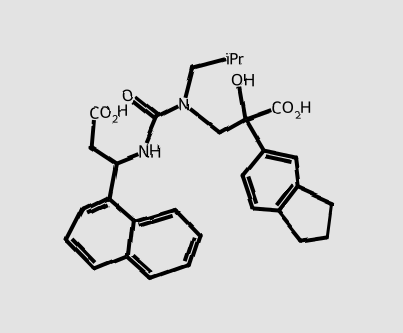 CC(C)CN(CC(O)(C(=O)O)c1ccc2c(c1)CCC2)C(=O)NC(CC(=O)O)c1cccc2ccccc12